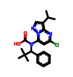 CC(C)c1cnn2c(N(C(=O)O)C(c3ccccc3)C(C)(C)C)cc(Cl)nc12